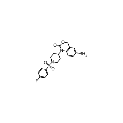 Bc1ccc2c(c1)COC(=O)N2C1CCN(S(=O)(=O)c2ccc(F)cc2)CC1